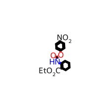 CCOC(=O)C1=C(NC(=O)Oc2ccc([N+](=O)[O-])cc2)CCCC1